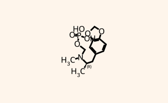 C[C@H](Cc1ccc2c(c1)OCO2)N(C)COP(=O)(O)O